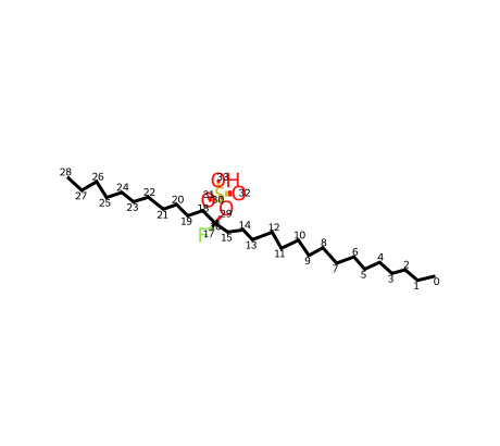 CCCCCCCCCCCCCCCCC(F)(CCCCCCCCCCC)OS(=O)(=O)O